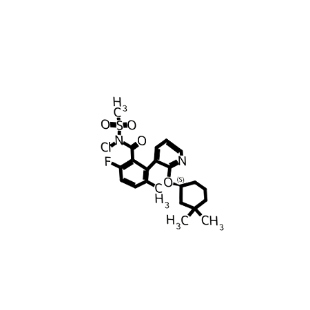 Cc1ccc(F)c(C(=O)N(Cl)S(C)(=O)=O)c1-c1cccnc1O[C@H]1CCCC(C)(C)C1